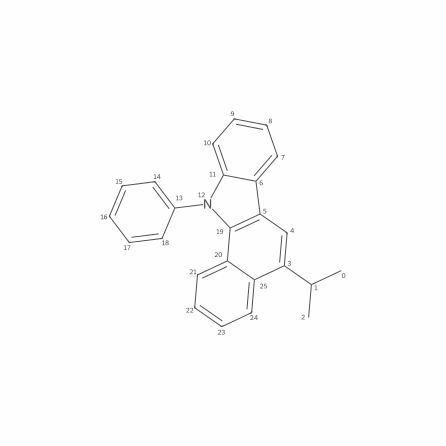 CC(C)c1cc2c3ccccc3n(-c3ccccc3)c2c2ccccc12